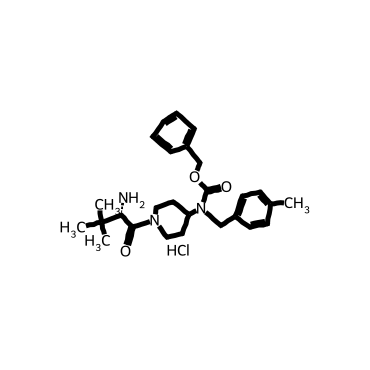 Cc1ccc(CN(C(=O)OCc2ccccc2)C2CCN(C(=O)[C@@H](N)C(C)(C)C)CC2)cc1.Cl